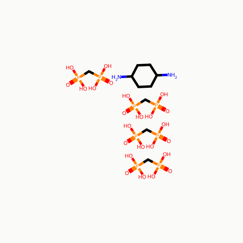 NC1CCC(N)CC1.O=P(O)(O)CP(=O)(O)O.O=P(O)(O)CP(=O)(O)O.O=P(O)(O)CP(=O)(O)O.O=P(O)(O)CP(=O)(O)O